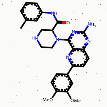 COc1ccc(-c2ccc3nc(N)nc(N4CCNCC4C(=O)Nc4cccc(C)c4)c3n2)cc1OC